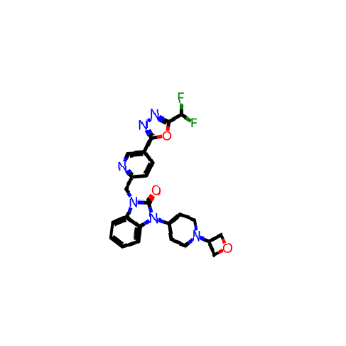 O=c1n(Cc2ccc(-c3nnc(C(F)F)o3)cn2)c2ccccc2n1C1CCN(C2COC2)CC1